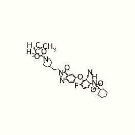 CC(C)(C)OC(=O)N1CCC(CCn2cnc3ccc(Oc4c(F)ccc(NS(=O)(=O)C5CCCCC5)c4C#N)cc3c2=O)CC1